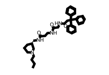 CCCCN1CCC[C@H](CNC(=O)CCNC(=O)CNC(=O)CC(c2ccccc2)(c2ccccc2)c2ccccc2)C1